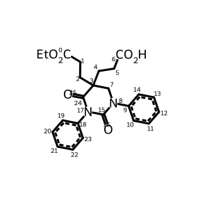 CCOC(=O)CCC1(CCC(=O)O)CN(c2ccccc2)C(=O)N(c2ccccc2)C1=O